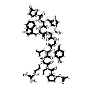 CCN(C(=O)[C@H](CCCNC(=N)N)NC(=O)[C@@H](CC(C)C)NC(=O)[C@@H](Cc1ccc(O)cc1)NC(=O)[C@@H](CO)NC(=O)[C@@H](Cc1c[nH]c2ccccc12)NC(=O)[C@@H](Cc1cnc[nH]1)NC(=O)[C@H]1CCC(=O)N1)C(=O)[C@@H]1CCCN1OC(C)=O